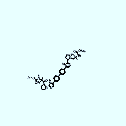 COC(=O)N[C@](C)(CN1CCCC1c1ncc(-c2ccc(-c3ccc(-c4cnc([C@@H]5CCCN5C(=O)[C@@](C)(NC(=O)OC)C(C)C)[nH]4)cc3)cc2)[nH]1)C(C)C